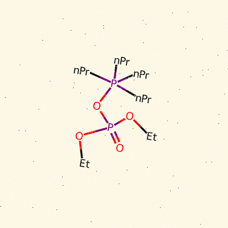 CCCP(CCC)(CCC)(CCC)OP(=O)(OCC)OCC